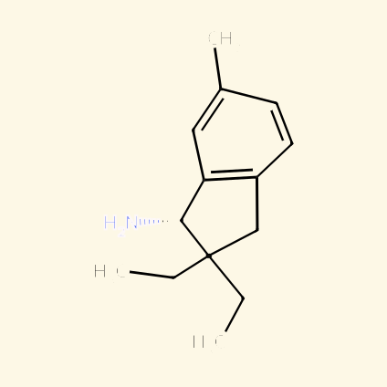 CCC1(CC)Cc2ccc(C)cc2[C@H]1N